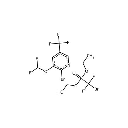 CCOP(=O)(OCC)C(F)(F)Br.FC(F)Oc1cc(C(F)(F)F)cnc1Br